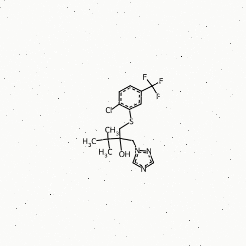 CC(C)(C)C(O)(CSc1cc(C(F)(F)F)ccc1Cl)Cn1cncn1